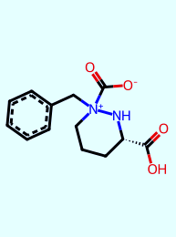 O=C(O)[C@@H]1CCC[N+](Cc2ccccc2)(C(=O)[O-])N1